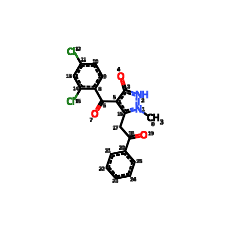 Cn1[nH]c(=O)c(C(=O)c2ccc(Cl)cc2Cl)c1CC(=O)c1ccccc1